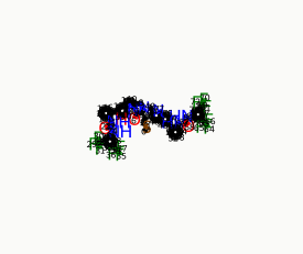 CSCC[C@@H](CO)N(Cc1ccc2cc(-c3ccccc3NC(=O)Nc3cc(C(F)(F)F)cc(C(F)(F)F)c3)ccc2n1)Cc1ccc2cc(-c3ccccc3NC(=O)Nc3cc(C(F)(F)F)cc(C(F)(F)F)c3)ccc2n1